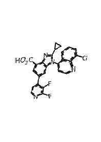 O=C(O)c1cc(-c2ccnc(F)c2F)cc2c1nc(C1CC1)n2-c1ccnc2c(Cl)cccc12